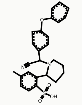 Cc1ccc(S(=O)(=O)O)c(C2CCCCN2C(C#N)c2ccc(Oc3ccccc3)cc2)c1